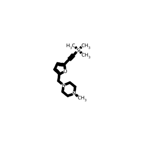 CN1CCN(Cc2ccc(C#C[Si](C)(C)C)o2)CC1